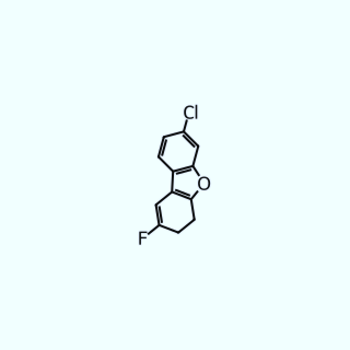 FC1=Cc2c(oc3cc(Cl)ccc23)CC1